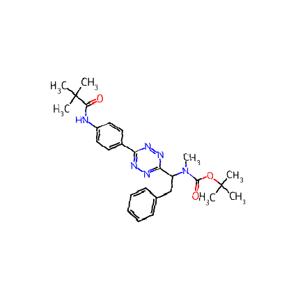 CN(C(=O)OC(C)(C)C)C(Cc1ccccc1)c1nnc(-c2ccc(NC(=O)C(C)(C)C)cc2)nn1